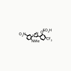 CNc1ccc([N+](=O)[O-])cc1-n1cnc(-c2ccc(C(F)(F)F)cc2OS(=O)(=O)O)c1